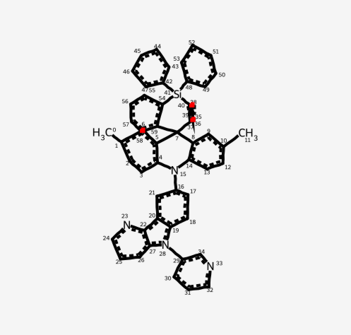 Cc1ccc2c(c1)C1(c3cc(C)ccc3N2c2ccc3c(c2)c2ncccc2n3-c2cccnc2)c2ccccc2[Si](c2ccccc2)(c2ccccc2)c2ccccc21